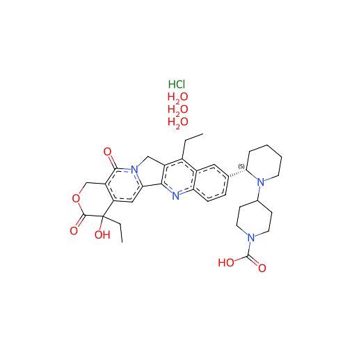 CCc1c2c(nc3ccc([C@@H]4CCCCN4C4CCN(C(=O)O)CC4)cc13)-c1cc3c(c(=O)n1C2)COC(=O)C3(O)CC.Cl.O.O.O